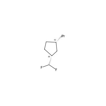 CC(C)[C@H]1CC[C@@H](C(F)F)C1